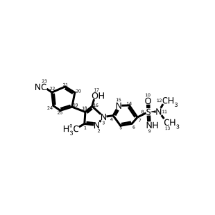 Cc1nn(-c2ccc([S@@](=N)(=O)N(C)C)cn2)c(O)c1-c1ccc(C#N)cc1